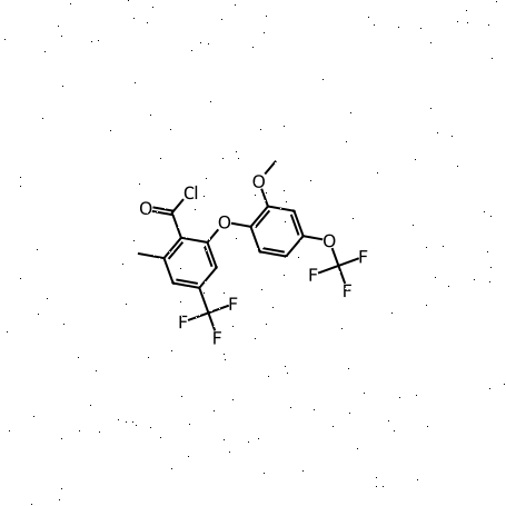 COc1cc(OC(F)(F)F)ccc1Oc1cc(C(F)(F)F)cc(C)c1C(=O)Cl